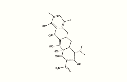 Cc1cc(F)c2c(c1O)C(=O)C1=C(O)[C@]3(O)C(=O)C(C(N)=O)=C(O)[C@@H](N(C)C)C3CC1C2